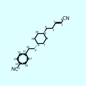 N#C/C=C/CC[C@H]1CC[C@H](CCc2ccc(C#N)cc2)CC1